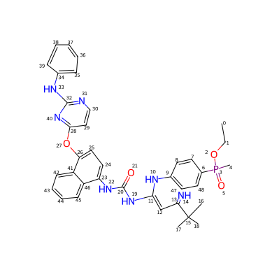 CCOP(C)(=O)c1ccc(N/C(=C\C(=N)C(C)(C)C)NC(=O)Nc2ccc(Oc3ccnc(Nc4ccccc4)n3)c3ccccc23)cc1